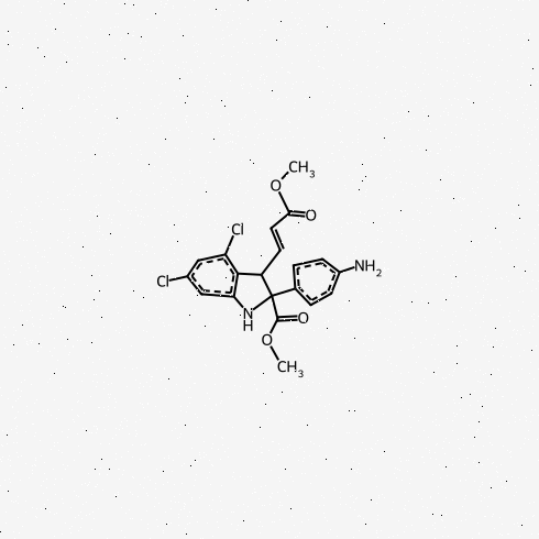 COC(=O)C=CC1c2c(Cl)cc(Cl)cc2NC1(C(=O)OC)c1ccc(N)cc1